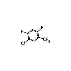 Fc1cc(F)c(C(F)(F)F)cc1Cl